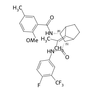 COc1ccc(C)cc1C(=O)N[C@@H]1C2CCC(C2=C(C)C)[C@@H]1C(=O)Nc1ccc(F)c(C(F)(F)F)c1